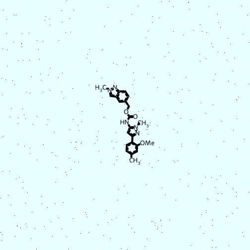 COc1cc(C)ccc1-c1cc(NC(=O)OCc2ccc3nn(C)cc3c2)n(C)n1